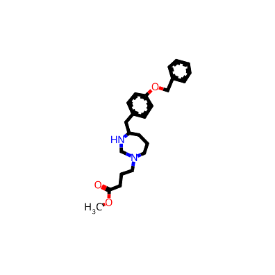 COC(=O)CCCN1CCCC(Cc2ccc(OCc3ccccc3)cc2)NC1